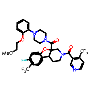 COCCOc1ccccc1N1CCN(C(=O)C2(Oc3ccc(C(F)(F)F)cc3)CN(C(=O)c3cnccc3C(F)(F)F)CCC2c2ccc(F)cc2)CC1